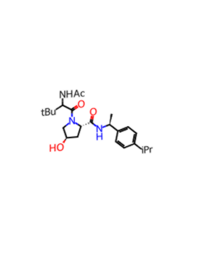 CC(=O)NC(C(=O)N1C[C@H](O)C[C@H]1C(=O)N[C@@H](C)c1ccc(C(C)C)cc1)C(C)(C)C